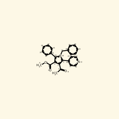 COC(=O)c1c(C(C)=O)c(-c2ccncc2)n(Cc2ccccc2)c1-c1ccccc1